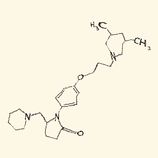 CC1CC(C)CN(CCCOc2ccc(N3C(=O)CCC3CN3CCCCC3)cc2)C1